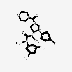 CN(C(=O)N(C)[C@@H]1CN(C(=O)N2CCOCC2)C[C@H]1c1ccc(F)cc1)c1cc(C(F)(F)F)cc(C(F)(F)F)c1